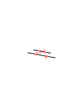 CCCCCCCCOC(=O)CCCCCCCCC(=O)OCCCCCCCC.CCCCCCOC(=O)/C=C/C(=O)OCCCCCC